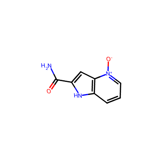 NC(=O)c1cc2c(ccc[n+]2[O-])[nH]1